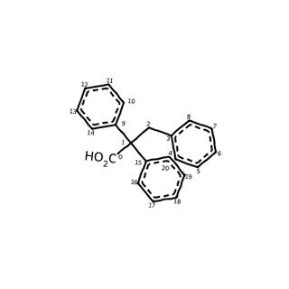 O=C(O)C(Cc1ccccc1)(c1ccccc1)c1ccccc1